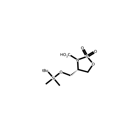 CC(C)(C)[Si](C)(C)OC[C@H]1COS(=O)(=O)N1C(=O)O